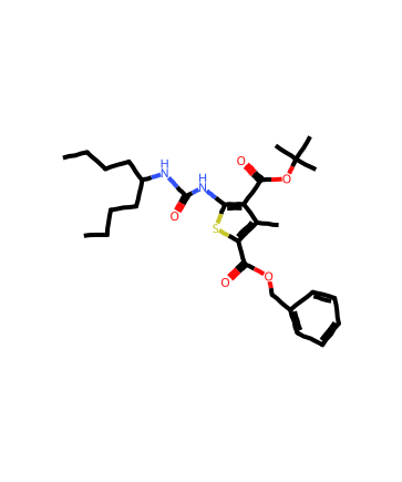 CCCCC(CCCC)NC(=O)Nc1sc(C(=O)OCc2ccccc2)c(C)c1C(=O)OC(C)(C)C